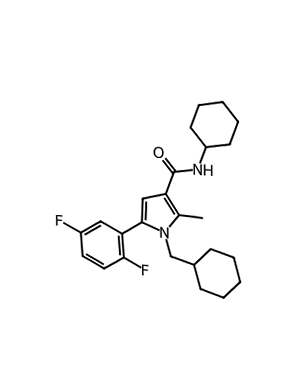 Cc1c(C(=O)NC2CCCCC2)cc(-c2cc(F)ccc2F)n1CC1CCCCC1